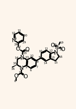 COC(=O)N1c2ccc(-c3ccc4c(c3)CCN4S(C)(=O)=O)cc2N(C(=O)Oc2ccccn2)C[C@@H]1C